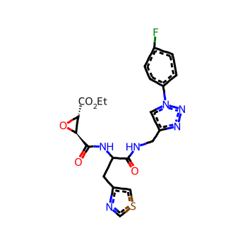 CCOC(=O)[C@H]1O[C@@H]1C(=O)NC(Cc1cscn1)C(=O)NCc1cn(-c2ccc(F)cc2)nn1